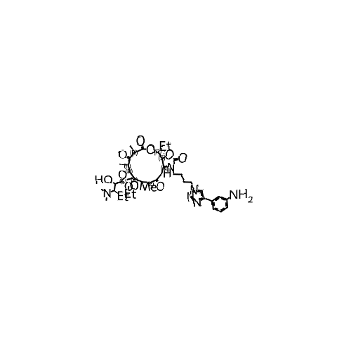 CCO[C@@H](O[C@@H]1[C@@H](C)C(=O)[C@@H](C)C(=O)O[C@H](CC)[C@@]2(C)OC(=O)N(CCCCn3cc(-c4cccc(N)c4)nn3)[C@@H]2CC(=O)[C@H](C)C[C@@]1(C)OC)C(O)C(CC)N(C)C